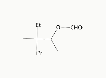 CCC(C)(C(C)C)C(C)O[C]=O